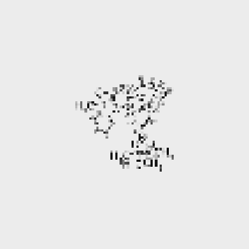 CC1(C)c2ccccc2-c2c1ccc1c2-c2cc(B3OC(C)(C)C(C)(C)O3)ccc2C12C1CC3CC(C1)CC2C3